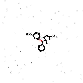 CC(=O)C1(C(=O)c2ccccc2)CC(C(F)(F)F)=CC1c1ccc(C=O)cc1